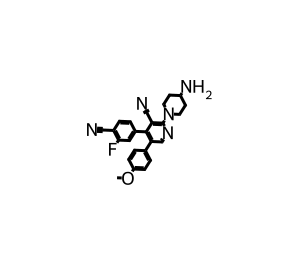 COc1ccc(-c2cnc(N3CCC(N)CC3)c(C#N)c2-c2ccc(C#N)c(F)c2)cc1